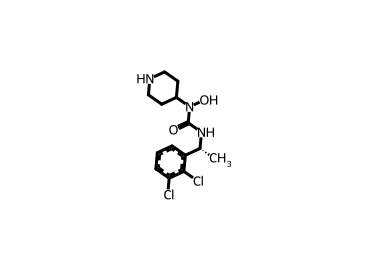 C[C@@H](NC(=O)N(O)C1CCNCC1)c1cccc(Cl)c1Cl